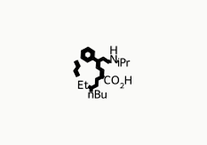 C=CC=C.CCCCC(CC)CCC(=CC=C(CCNC(C)C)c1ccccc1)C(=O)O